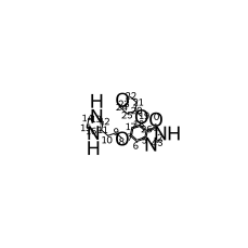 O=c1[nH]cnc2cc(OCCC3CNCCN3)cc(OC3CCOCC3)c12